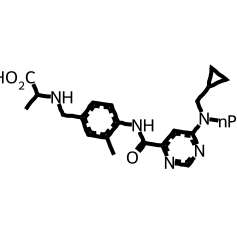 CCCN(CC1CC1)c1cc(C(=O)Nc2ccc(CNC(C)C(=O)O)cc2C)ncn1